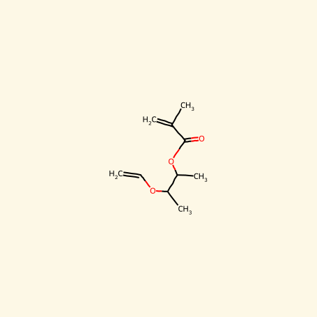 C=COC(C)C(C)OC(=O)C(=C)C